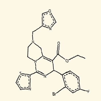 CCOC(=O)C1=C2CN(Cc3cocn3)CCN2C(c2nccs2)=NC1c1ccc(F)cc1Br